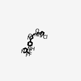 O=C(NCC1CC(c2ccc(Nc3ccncc3C(F)(F)F)cc2)=NO1)c1ccc(Cl)s1